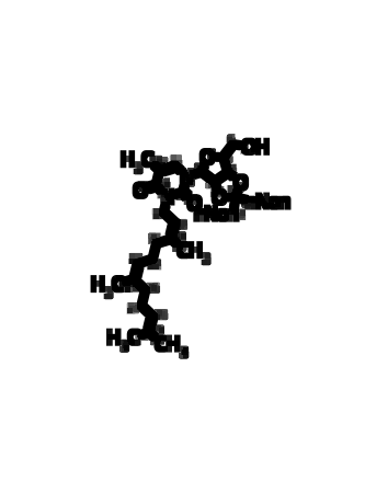 CCCCCCCCCC1(CCCCCCCCC)OC2C(CO)OC(n3cc(C)c(=O)n(CC=C(C)CCC=C(C)CCC=C(C)C)c3=O)C2O1